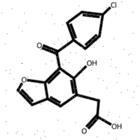 O=C(O)Cc1cc2ccoc2c(C(=O)c2ccc(Cl)cc2)c1O